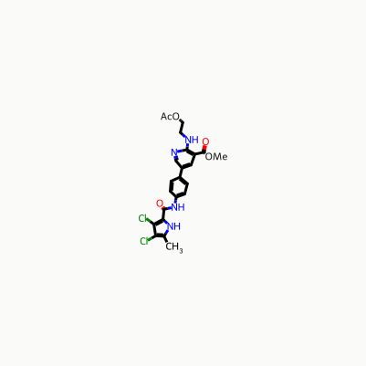 COC(=O)c1cc(-c2ccc(NC(=O)c3[nH]c(C)c(Cl)c3Cl)cc2)cnc1NCCOC(C)=O